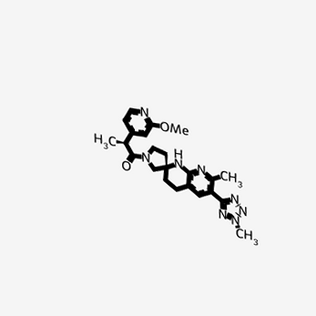 COc1cc([C@H](C)C(=O)N2CC[C@@]3(CCc4cc(-c5nnn(C)n5)c(C)nc4N3)C2)ccn1